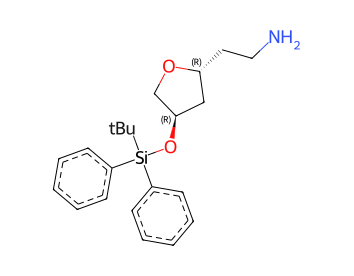 CC(C)(C)[Si](O[C@H]1CO[C@H](CCN)C1)(c1ccccc1)c1ccccc1